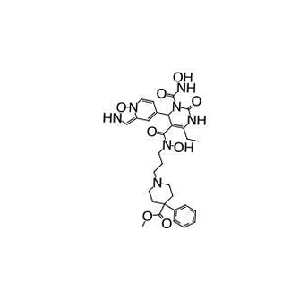 CCC1=C(C(=O)N(O)CCCN2CCC(C(=O)OC)(c3ccccc3)CC2)C(C2=CC3=CNON3C=C2)N(C(=O)NO)C(=O)N1